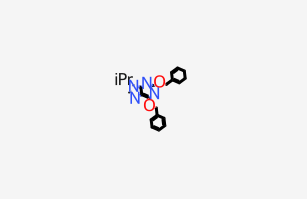 CC(C)n1cnc2c(OCc3ccccc3)nc(OCC3=CCCC=C3)nc21